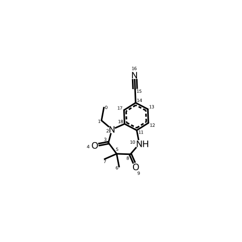 CCN1C(=O)C(C)(C)C(=O)Nc2ccc(C#N)cc21